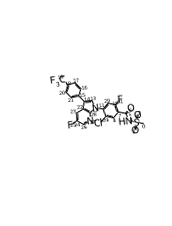 CS(=O)(=O)NC(=O)c1cc(Cl)c(-n2cc(-c3ccc(C(F)(F)F)cc3)c3cc(F)cnc32)cc1F